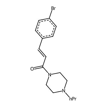 CCCN1CCN(C(=O)C=Cc2ccc(Br)cc2)CC1